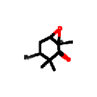 CC(C)C1CC2O[C@]2(C)C(=O)C1(C)C